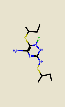 CCC(C)SNC1=NC(N)=C(SC(C)CC)N(Cl)N1